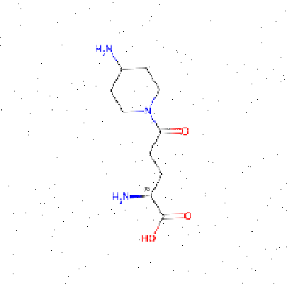 NC1CCN(C(=O)CC[C@H](N)C(=O)O)CC1